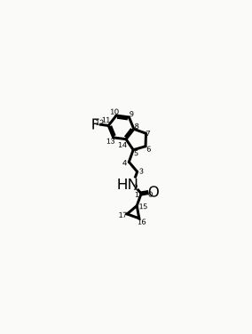 O=C(NCCC1CCc2ccc(F)cc21)C1CC1